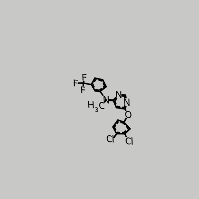 CN(c1cccc(C(F)(F)F)c1)c1cc(Oc2ccc(Cl)c(Cl)c2)ncn1